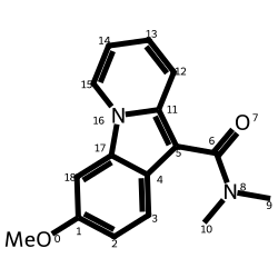 COc1ccc2c(C(=O)N(C)C)c3ccccn3c2c1